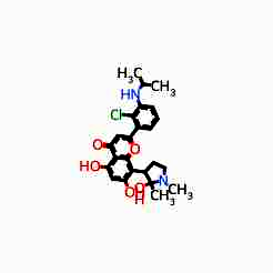 CC(C)Nc1cccc(-c2cc(=O)c3c(O)cc(O)c(C4CCN(C)C4(C)O)c3o2)c1Cl